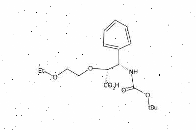 CCOCCO[C@@H](C(=O)O)[C@@H](NC(=O)OC(C)(C)C)c1ccccc1